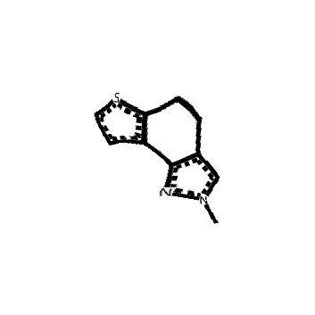 Cn1cc2c(n1)-c1ccsc1CC2